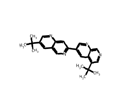 CC(C)(C)c1cnc2cc(-c3cnc4cncc(C(C)(C)C)c4c3)ncc2c1